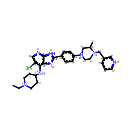 CCN1CCC(Nc2c(Br)cnc3[nH]c(-c4ccc(N5CCN(Cc6cccnc6)C(C)C5)cc4)nc23)CC1